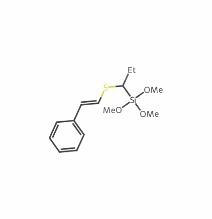 CCC(SC=Cc1ccccc1)[Si](OC)(OC)OC